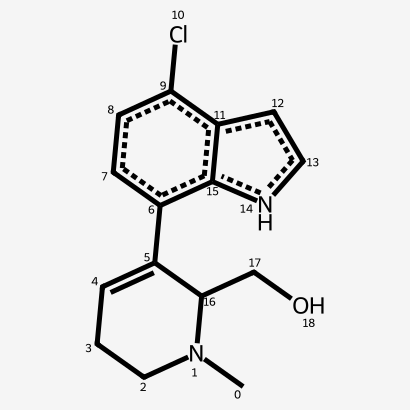 CN1CCC=C(c2ccc(Cl)c3cc[nH]c23)C1CO